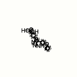 Nc1ncnc2c1c(-c1ccc(Oc3ccccc3)cc1)cn2C1CCC(O)(CC(=O)O)CC1